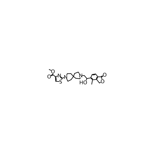 COC(=O)c1csc(N2CCC3(CCN(CC(O)c4ccc5c(c4C)COC5=O)CC3)CC2)n1